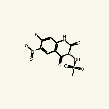 CS(=O)(=O)Nn1c(=O)[nH]c2cc(F)c([N+](=O)[O-])cc2c1=O